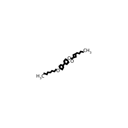 CCCCCCCCOc1ccc(-c2ccc(OC(=O)C3CC(CCCCC)C3)cc2)cc1